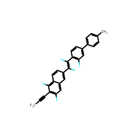 Cc1ccc(-c2ccc(/C(F)=C(\F)c3ccc4c(F)c(C#CC(F)(F)F)c(F)cc4c3)c(F)c2)cc1